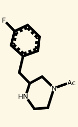 CC(=O)N1CCNC(Cc2cccc(F)c2)C1